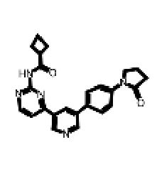 O=C(Nc1nccc(-c2cncc(-c3ccc(N4CCCC4=O)cc3)c2)n1)C1CCC1